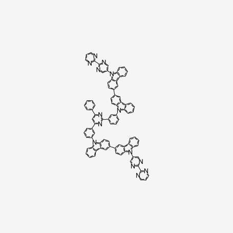 c1ccc(-c2cc(-c3cccc(-n4c5ccccc5c5cc(-c6ccc7c(c6)c6ccccc6n7-c6cnc(-c7ncccn7)nc6)ccc54)c3)nc(-c3cccc(-n4c5ccccc5c5cc(-c6ccc7c(c6)c6ccccc6n7-c6cnc(-c7ncccn7)nc6)ccc54)c3)n2)cc1